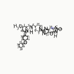 Cc1cc(CNCC2CCN(c3nccc(/C=C4/SC(=O)NC4=O)n3)CC2)nc(-c2ccc(Oc3ccccc3)cc2)c1